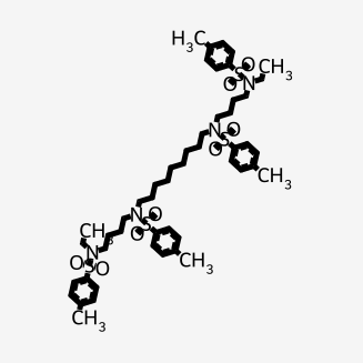 CCN(CCCCN(CCCCCCCCCN(CCCCN(CC)S(=O)(=O)c1ccc(C)cc1)S(=O)(=O)c1ccc(C)cc1)S(=O)(=O)c1ccc(C)cc1)S(=O)(=O)c1ccc(C)cc1